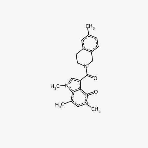 Cc1ccc2c(c1)CCN(C(=O)c1cn(C)c3c(C)cn(C)c(=O)c13)C2